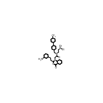 CCN(CC)CCN(Cc1ccc(-c2ccc(C(F)(F)F)cc2)cc1)C(=O)Cn1c(CCc2cccc(N)c2)nc(=O)c2ccccc21